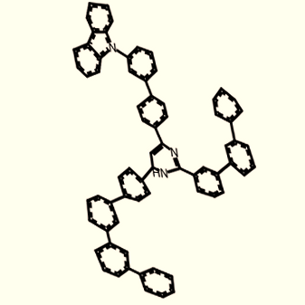 C1=C(c2ccc(-c3cccc(-n4c5ccccc5c5ccccc54)c3)cc2)N=C(c2cccc(-c3cccc(-c4ccccc4)c3)c2)NC1c1ccc(-c2cccc(-c3cccc(-c4ccccc4)c3)c2)cc1